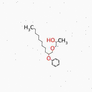 CCCCCCCCCC(CO[CH]C(C)O)Oc1ccccc1